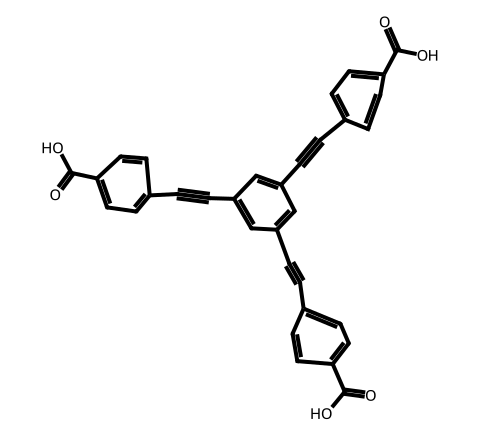 O=C(O)c1ccc(C#Cc2cc(C#Cc3ccc(C(=O)O)cc3)cc(C#Cc3ccc(C(=O)O)cc3)c2)cc1